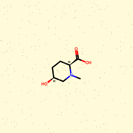 CN1C[C@@H](O)CC[C@H]1C(=O)O